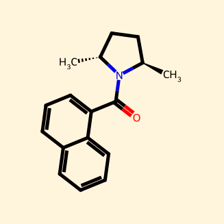 C[C@@H]1CC[C@@H](C)N1C(=O)c1cccc2ccccc12